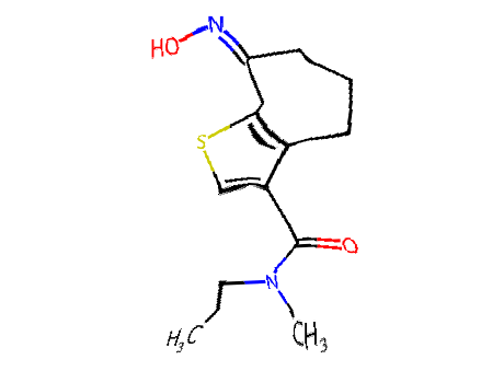 CCN(C)C(=O)c1csc2c1CCC/C2=N/O